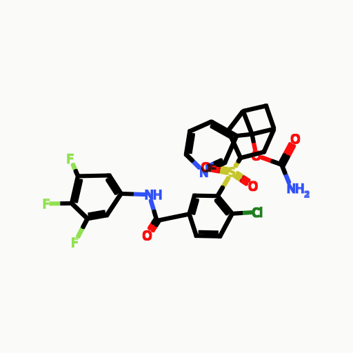 NC(=O)OC1(c2cccnc2)C2CC1CC(S(=O)(=O)c1cc(C(=O)Nc3cc(F)c(F)c(F)c3)ccc1Cl)C2